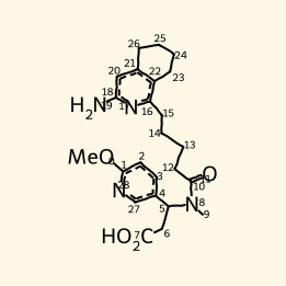 COc1ccc(C(CC(=O)O)N(C)C(=O)CCCCc2nc(N)cc3c2CCCC3)cn1